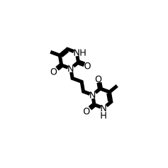 Cc1c[nH]c(=O)n(CCCn2c(=O)[nH]cc(C)c2=O)c1=O